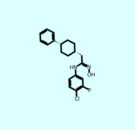 O/N=C(/C[C@H]1CC[C@@H](c2ccccc2)CC1)Nc1ccc(Cl)c(F)c1